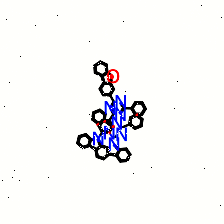 c1ccc(-c2nc(-c3ccc(-n4c5ccccc5c5ccc6c7ccccc7n(-c7nc(-c8ccccc8)nc(-c8ccccc8)n7)c6c54)cc3)nc(-c3ccc4c(c3)oc3ccccc34)n2)cc1